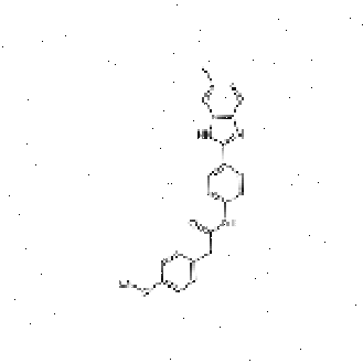 CCSc1ccc(CC(=O)Nc2ccc(-c3nc4ccc(C)cc4[nH]3)cc2)cc1